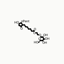 CCCCCC1C(O)CC(=O)C1CCCCCCC(=O)OCCOC1O[C@H](CO)[C@@H](O)[C@H](O)[C@H]1O